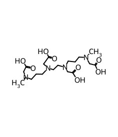 CN(CCCN(CCN(CCCN(C)CC(=O)O)CC(=O)O)CC(=O)O)CC(=O)O